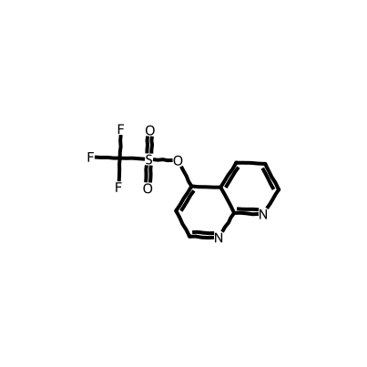 O=S(=O)(Oc1ccnc2ncccc12)C(F)(F)F